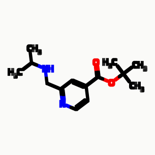 CC(C)NCc1cc(C(=O)OC(C)(C)C)ccn1